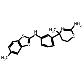 Cc1ccc2sc(Nc3cccc(C4(C)CCSC(N)=N4)c3)nc2c1